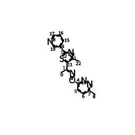 C/C(=N\Oc1ccc(C)nn1)c1sc(-c2cccnc2)nc1C